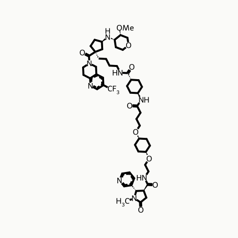 CO[C@@H]1COCC[C@@H]1N[C@@H]1CC[C@](CCCCNC(=O)[C@H]2CC[C@H](NC(=O)CCCO[C@H]3CC[C@@H](OCCNC(=O)[C@H]4CC(=O)N(C)[C@@H]4c4cccnc4)CC3)CC2)(C(=O)N2CCc3ncc(C(F)(F)F)cc3C2)C1